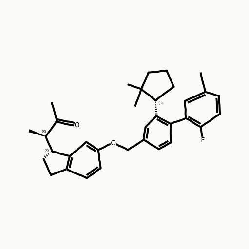 CC(=O)[C@H](C)[C@H]1CCc2ccc(OCc3ccc(-c4cc(C)ccc4F)c([C@H]4CCCC4(C)C)c3)cc21